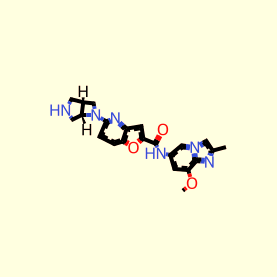 COc1cc(NC(=O)c2cc3nc(N4C[C@H]5CNC[C@H]54)ccc3o2)cn2cc(C)nc12